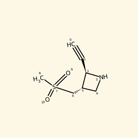 C#C[C@H]1NC[C@@H]1CS(C)(=O)=O